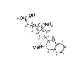 CNC(Cc1ccccc1)C(=O)N1C[C@H](CCCB(O)O)[C@@](N)(C(=O)O)C1